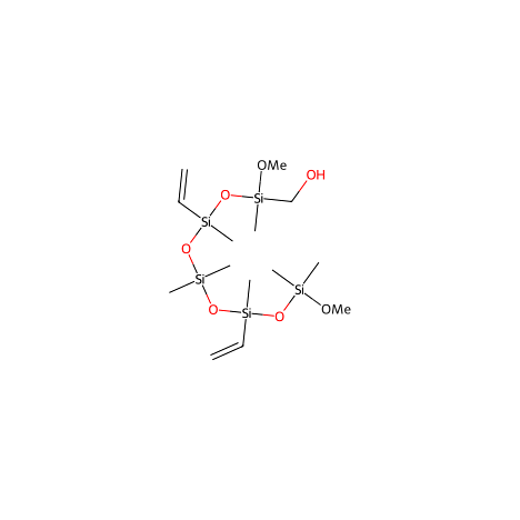 C=C[Si](C)(O[Si](C)(C)OC)O[Si](C)(C)O[Si](C)(C=C)O[Si](C)(CO)OC